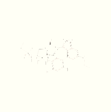 CCOc1cc(-c2c(F)cc(F)cc2F)c2c(N3C[C@H]4N(C[C@@H](NS(=O)(=O)CC)C4(F)F)C3=O)noc2c1